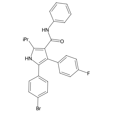 CC(C)c1[nH]c(-c2ccc(Br)cc2)c(-c2ccc(F)cc2)c1C(=O)Nc1ccccc1